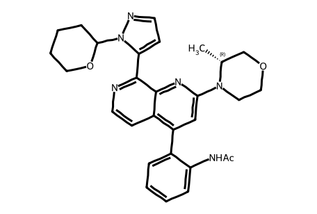 CC(=O)Nc1ccccc1-c1cc(N2CCOC[C@H]2C)nc2c(-c3ccnn3C3CCCCO3)nccc12